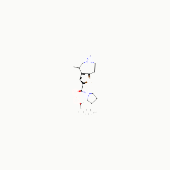 COC(=O)[C@@H]1CCCN1C(=O)c1cc2c(s1)CCN(C)CC2C